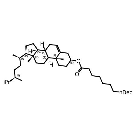 CCCCCCCCCCCCCCCCC(=O)O[C@H]1CC[C@@]2(C)C(=CC[C@H]3[C@@H]4CC[C@H]([C@H](C)CC[C@@H](C)C(C)C)[C@@]4(C)CC[C@@H]32)C1